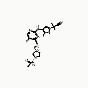 CC(=O)N[C@H]1CC[C@@H](COc2nc(Nc3cn(C(C)(C)C#N)nc3C)ncc2F)C1